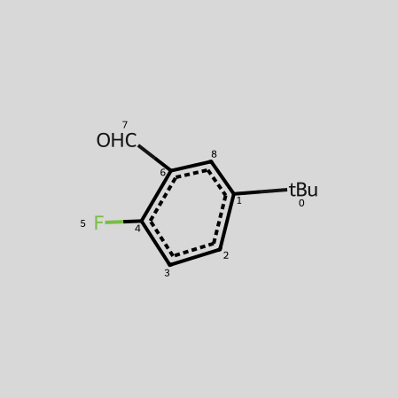 CC(C)(C)c1ccc(F)c(C=O)c1